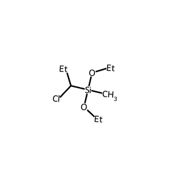 CCO[Si](C)(OCC)C(Cl)CC